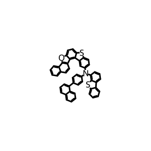 c1ccc2c(-c3ccc(N(c4ccc5sc6ccc7oc8c9ccccc9ccc8c7c6c5c4)c4cccc5c4sc4ccccc45)cc3)cccc2c1